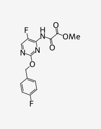 COC(=O)C(=O)Nc1nc(OCc2ccc(F)cc2)ncc1F